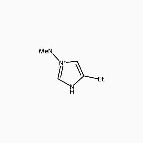 CCc1c[n+](NC)c[nH]1